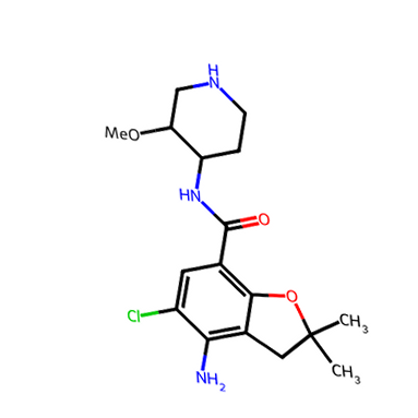 COC1CNCCC1NC(=O)c1cc(Cl)c(N)c2c1OC(C)(C)C2